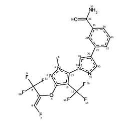 Cn1nc(O/C(=C\F)C(F)(F)F)c(C(F)(F)F)c1-n1cc(-c2cccc(C(N)=O)c2)cn1